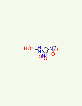 O=C1OCCN1c1ccc(NCCCO)c([N+](=O)[O-])c1